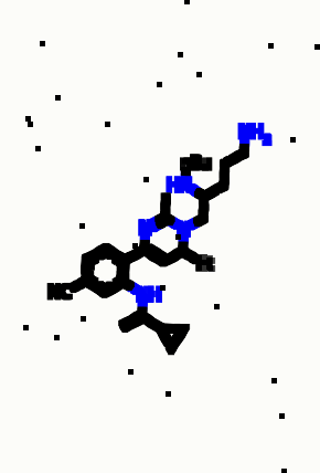 C=C(Nc1cc(C#N)ccc1C1=CC(CC)N(CC(CCCN)NCCCC)C(C)=N1)C1CC1